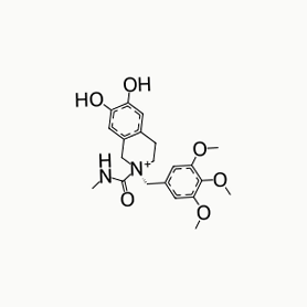 CNC(=O)[N@+]1(Cc2cc(OC)c(OC)c(OC)c2)CCc2cc(O)c(O)cc2C1